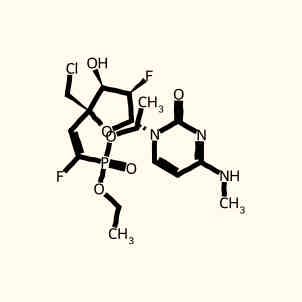 CCOP(=O)(OCC)/C(F)=C\[C@@]1(CCl)O[C@@H](n2ccc(NC)nc2=O)[C@H](F)[C@@H]1O